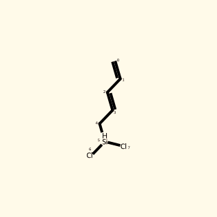 C=CC=CC[SiH](Cl)Cl